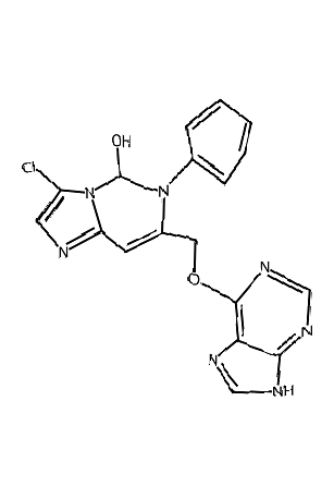 OC1N(c2ccccc2)C(COc2ncnc3[nH]cnc23)=Cc2ncc(Cl)n21